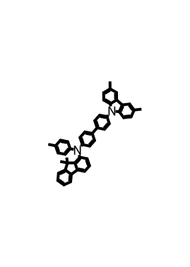 Cc1ccc(N(c2ccc(-c3ccc(-n4c5ccc(C)cc5c5cc(C)ccc54)cc3)cc2)c2cccc3c2C(C)(C)c2ccccc2-3)cc1